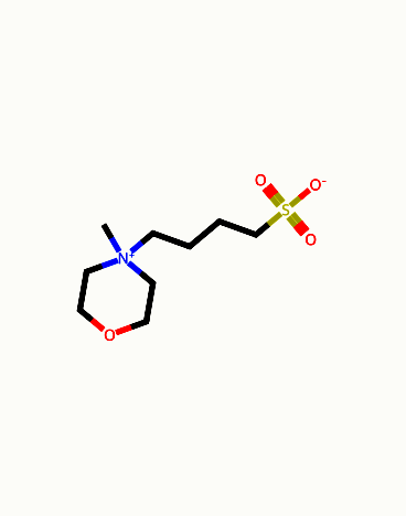 C[N+]1(CCCCS(=O)(=O)[O-])CCOCC1